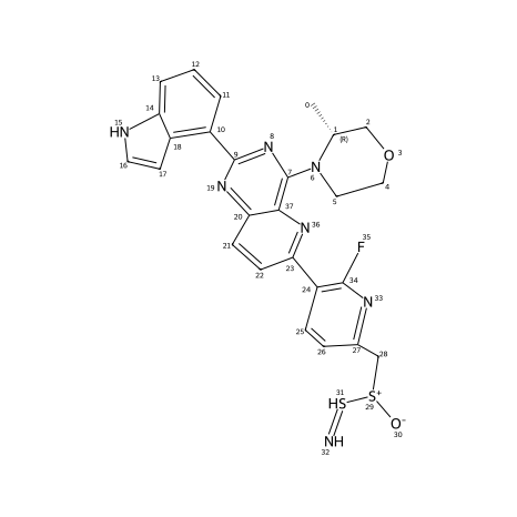 C[C@@H]1COCCN1c1nc(-c2cccc3[nH]ccc23)nc2ccc(-c3ccc(C[S+]([O-])[SH]=N)nc3F)nc12